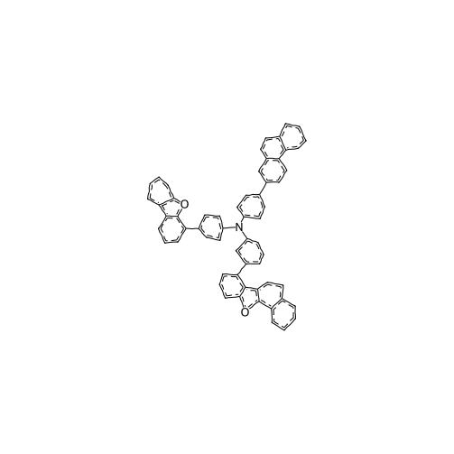 c1cc(-c2cccc3oc4c5ccccc5ccc4c23)cc(N(c2ccc(-c3ccc4c(ccc5ccccc54)c3)cc2)c2ccc(-c3cccc4c3oc3ccccc34)cc2)c1